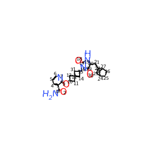 NC(=O)c1cccnc1OC1CC2(C1)CC(N1C(=O)NC(CC3CC4CCC3C4)C1=O)C2